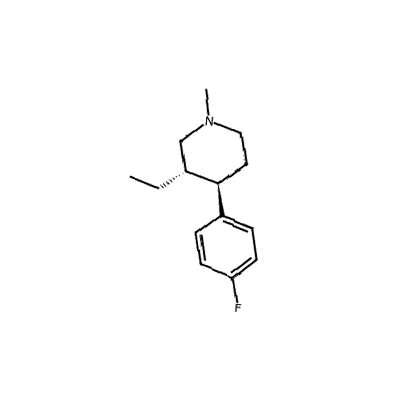 CC[C@@H]1CN(C)CC[C@H]1c1ccc(F)cc1